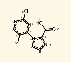 Cc1cnc(Cl)nc1-n1ccnc1C(=O)O